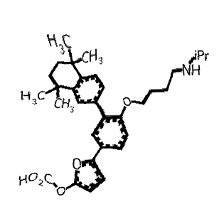 CC(C)NCCCCOc1ccc(-c2ccc(OC(=O)O)o2)cc1-c1ccc2c(c1)C(C)(C)CCC2(C)C